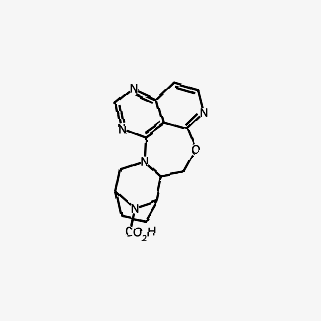 O=C(O)N1C2CCC1C1COc3nccc4ncnc(c34)N1C2